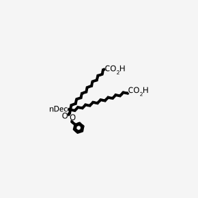 CCCCCCCCCCC(CCCCCCCCCCCCCCCC(=O)O)(CCCCCCCCCCCCCC(=O)O)C(=O)OCc1ccccc1